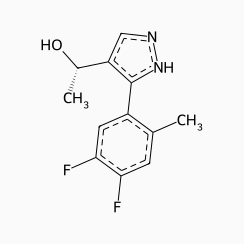 Cc1cc(F)c(F)cc1-c1[nH]ncc1[C@H](C)O